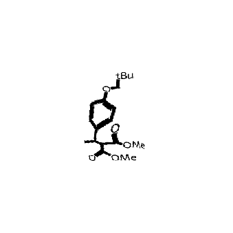 COC(=O)C(C(=O)OC)C(C)c1ccc(OCC(C)(C)C)cc1